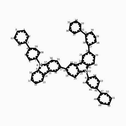 c1ccc(-c2ccc(-n3c4ccccc4c4cc(-c5ccc6c(c5)c5cc(-c7cccc(-c8ccccc8)c7)ccc5n6-c5ccc(-c6ccccc6)cc5)ccc43)cc2)cc1